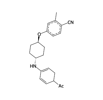 CC(=O)C1C=CC(N[C@H]2CC[C@H](Oc3ccc(C#N)c(C)c3)CC2)=CC1